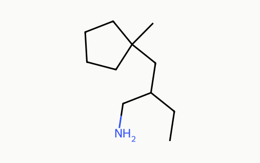 CCC(CN)CC1(C)CCCC1